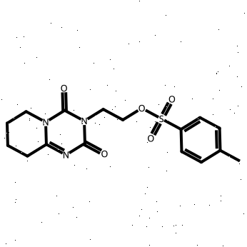 Cc1ccc(S(=O)(=O)OCCn2c(=O)nc3n(c2=O)CCCC3)cc1